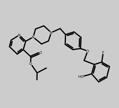 CC(C)OC(=O)c1cccnc1N1CCN(Cc2ccc(OCc3c(O)cccc3F)cc2)CC1